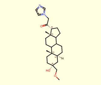 COC[C@@]1(O)CC[C@]2(C)C3CC[C@@]4(C)C(CC[C@H]4C(=O)Cn4ccnc4)C3CC[C@H]2C1